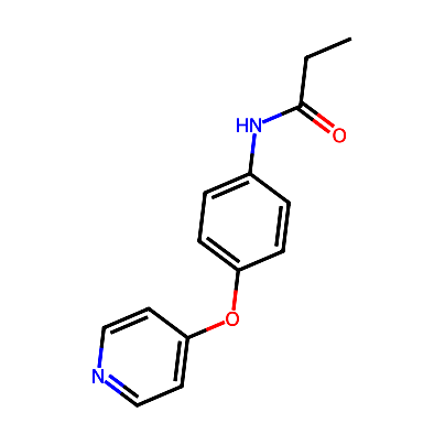 CCC(=O)Nc1ccc(Oc2ccncc2)cc1